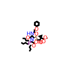 CCCCP(CCCC)(CCCC)=C(C(=O)O)N1C(=O)[C@@H](NC(=O)COc2ccccc2)[C@H]1SCC(=O)C1(C(=O)OC)CC1